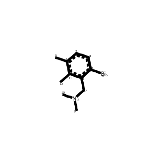 Cc1cc[c]([Bi])c(CN(C)C)c1C